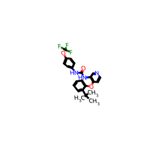 CC(C)(C)c1ccccc1Oc1ccncc1NC(=O)Nc1ccc(OC(F)(F)F)cc1